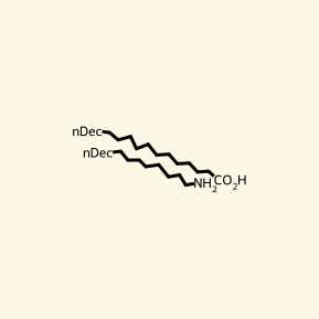 CCCCCCCCCCCCCCCCCCCCCC(=O)O.CCCCCCCCCCCCCCCCCCN